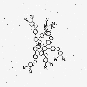 N#Cc1ccc(Oc2ccc(-c3cccc(OP(=O)(Oc4cccc(-c5ccc(Oc6ccc(C#N)c(C#N)c6)cc5)c4-c4ccc(Oc5ccc(C#N)c(C#N)c5)cc4)Oc4cccc(-c5ccc(Oc6ccc(C#N)c(C#N)c6)cc5)c4-c4ccc(Oc5ccc(C#N)c(C#N)c5)cc4)c3-c3ccc(Oc4ccc(C#N)c(C#N)c4)cc3)cc2)cc1C#N